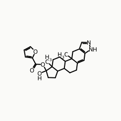 CC12Cc3cn[nH]c3C=C1CCC1C2CCC2(C)C1CCC2(O)OC(=O)c1ccco1